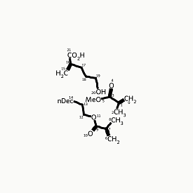 C=C(C)C(=O)OC.C=C(C)C(=O)OCCCCCCCCCCCC.C=C(CCCO)C(=O)O